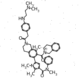 Cc1c(C(=O)N(C)c2ccccc2)cc(-c2cc3c(cc2C(=O)N2Cc4ccccc4C[C@H]2C)CN(C(=O)Cc2ccc(NCCN(C)C)cc2)CC3)n1C